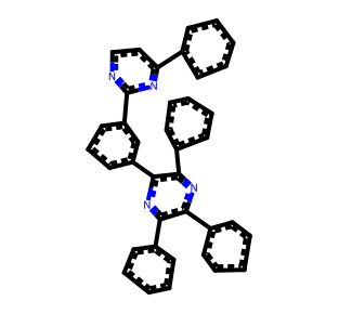 c1ccc(-c2ccnc(-c3cccc(-c4nc(-c5ccccc5)c(-c5ccccc5)nc4-c4ccccc4)c3)n2)cc1